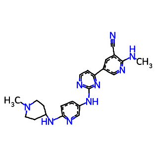 CNc1ncc(-c2ccnc(Nc3ccc(NC4CCN(C)CC4)nc3)n2)cc1C#N